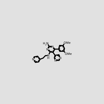 COc1cc(OC)cc(-c2nc(N)nc(NCCc3ccncc3)c2-c2cncnc2)c1